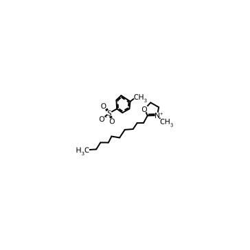 CCCCCCCCCCC1=[N+](C)CCO1.Cc1ccc(S(=O)(=O)[O-])cc1